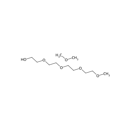 COC.COCCOCCOCCOCCO